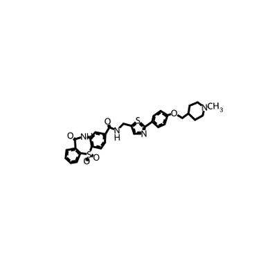 CN1CCC(COc2ccc(-c3ncc(CNC(=O)c4ccc5c(c4)NC(=O)c4ccccc4S5(=O)=O)s3)cc2)CC1